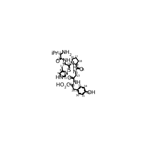 CC(C)[C@H](N)C(=O)N[C@@H](Cc1c[nH]cn1)C(=S)N1CCC[C@H]1C(=O)NCC(=O)N[C@@H](Cc1ccc(O)cc1)C(=O)O